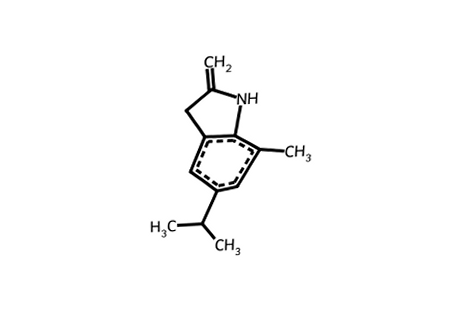 C=C1Cc2cc(C(C)C)cc(C)c2N1